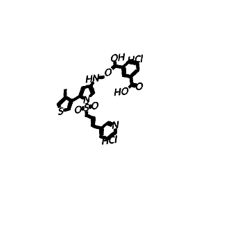 CNc1cc(-c2cscc2C)n(S(=O)(=O)CC=Cc2cccnc2)c1.Cl.Cl.O=C(O)c1cccc(C(=O)O)c1